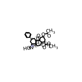 COC(=O)[C@@H]1C[C@H](OC(C)=O)C(=O)[C@@H]2[C@H]3C[C@@H](c4ccccc4)C/C(=N\O)[C@@H]3CC[C@]21C